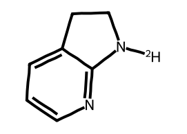 [2H]N1CCc2cccnc21